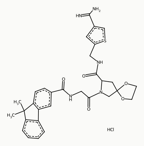 CC1(C)c2ccccc2-c2cc(C(=O)NCC(=O)N3CC4(CC3C(=O)NCc3cc(C(=N)N)cs3)OCCO4)ccc21.Cl